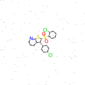 O=S(=O)(c1ccccc1Cl)c1sc2ncccc2c1-c1ccc(Cl)cc1